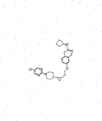 CN(C(=O)Cc1ccc(OCCC2CC2C2CCN(c3ncc(Cl)cn3)CC2)cc1F)C1CCCC1